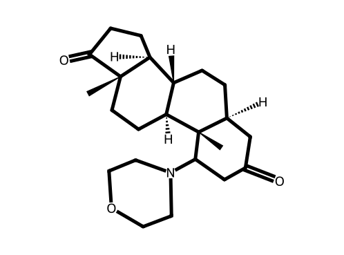 C[C@]12C(N3CCOCC3)CC(=O)C[C@@H]1CC[C@@H]1[C@@H]2CC[C@]2(C)C(=O)CC[C@@H]12